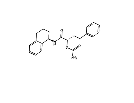 NC(=O)O[C@@H](CCc1ccccc1)C(=O)N[C@@H]1CCCc2ccccc21